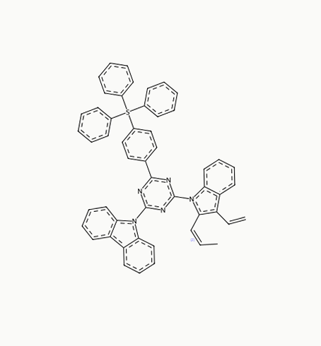 C=Cc1c(/C=C\C)n(-c2nc(-c3ccc(S(c4ccccc4)(c4ccccc4)c4ccccc4)cc3)nc(-n3c4ccccc4c4ccccc43)n2)c2ccccc12